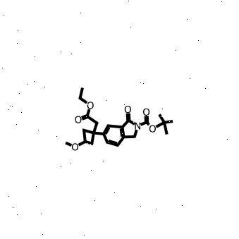 CCOC(=O)CC1(c2ccc3c(c2)C(=O)N(C(=O)OC(C)(C)C)C3)CC(OC)C1